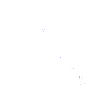 CC(=O)N1CCN(c2ncc(-c3ccc4c(=O)n(C)n(Cc5ccccc5OC(F)F)c4c3)cn2)C(C)C1